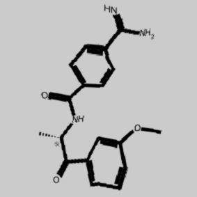 COc1cccc(C(=O)[C@H](C)NC(=O)c2ccc(C(=N)N)cc2)c1